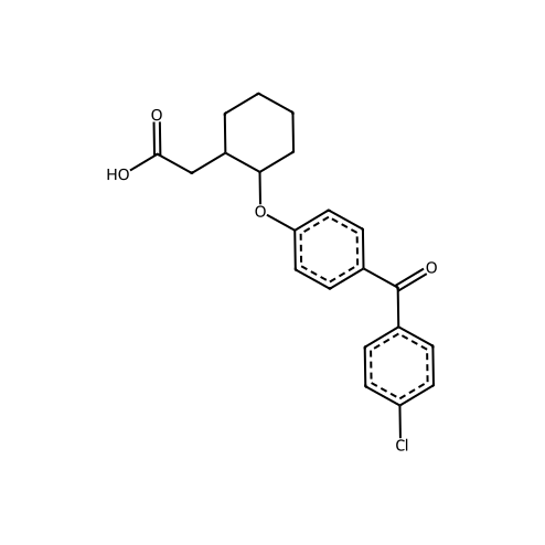 O=C(O)CC1CCCCC1Oc1ccc(C(=O)c2ccc(Cl)cc2)cc1